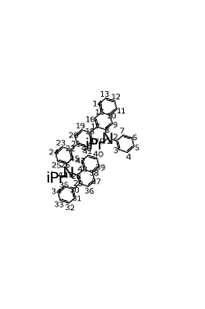 CC(C)N(c1ccccc1)c1cc2ccccc2cc1-c1ccc(-c2cccc(N(c3c(-c4ccccc4)ccc4ccccc34)C(C)C)c2)cc1